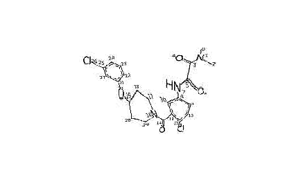 CN(C)C(=O)C(=O)Nc1ccc(Cl)c(C(=O)N2CCC(Oc3cccc(Cl)c3)CC2)c1